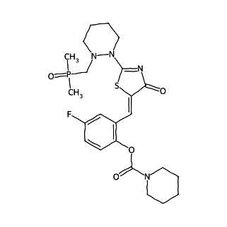 CP(C)(=O)CN1CCCCN1C1=NC(=O)/C(=C/c2cc(F)ccc2OC(=O)N2CCCCC2)S1